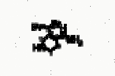 CCC(C1=C(NN)CCNC1)C(C)C